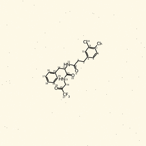 O=C(CCc1ccc(Cl)c(Cl)c1)NC(Cc1ccccc1)C(=O)NCC(=O)C(F)(F)F